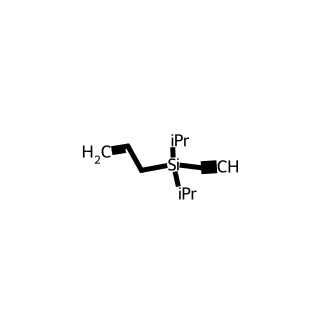 C#C[Si](CC=C)(C(C)C)C(C)C